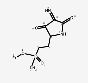 CCOP(C)(=O)CCC1NC(=O)C(=N)C1=O